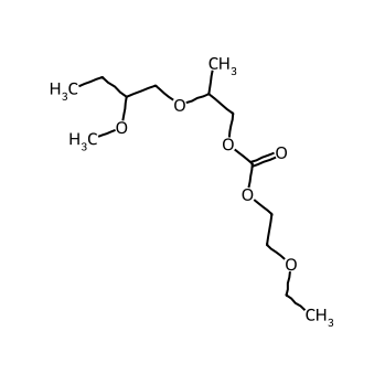 CCOCCOC(=O)OCC(C)OCC(CC)OC